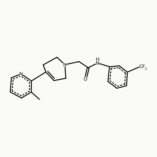 Cc1cccnc1C1=CCN(CC(=O)Nc2cccc(C(F)(F)F)c2)CC1